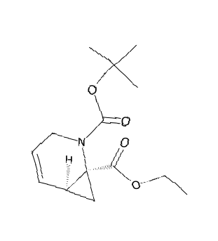 CCOC(=O)[C@]12C[C@H]1C=CCN2C(=O)OC(C)(C)C